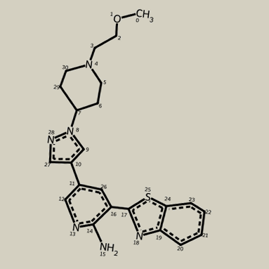 COCCN1CCC(n2cc(-c3cnc(N)c(-c4nc5ccccc5s4)c3)cn2)CC1